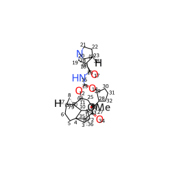 CO[C@@H]1CCC23CC[C@H]4C[C@@]4(C12)[C@H](OC(=O)NC(=O)[C@H]1CN2CC[C@@H]1C2)C[C@@](C)(C1CCCC1)C(=O)[C@@H]3C